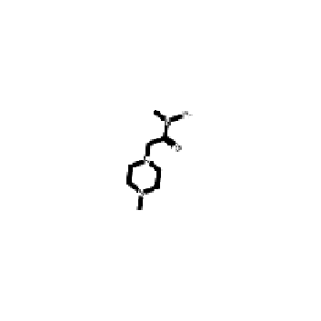 CC(C)N(C)C(=O)CN1CCN(C)CC1